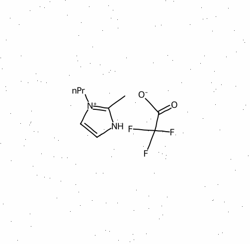 CCC[n+]1cc[nH]c1C.O=C([O-])C(F)(F)F